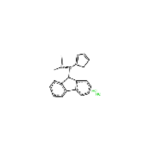 Cl.Cl.[CH3][Ge]([CH3])=[Zr]([C]1=CC=CC1)[CH]1c2ccccc2-c2ccccc21